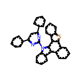 c1ccc(-c2cc(-c3ccccc3)nc(-n3c4ccccc4c4c5ccccc5c5sc6ccccc6c5c43)n2)cc1